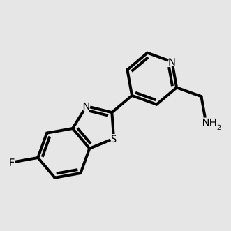 NCc1cc(-c2nc3cc(F)ccc3s2)ccn1